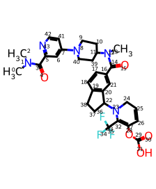 CN(C)C(=O)c1cc(N2CCC(N(C)C(=O)c3ccc4c(c3)C(N3CC=CC(OC(=O)O)=C3C(F)(F)F)CC4)CC2)ccn1